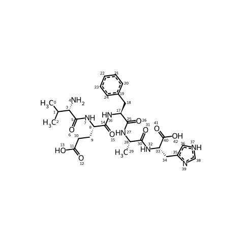 CC(C)[C@H](N)C(=O)N[C@@H](CCC(=O)O)C(=O)N[C@@H](Cc1ccccc1)C(=O)N[C@@H](C)C(=O)N[C@@H](Cc1c[nH]cn1)C(=O)O